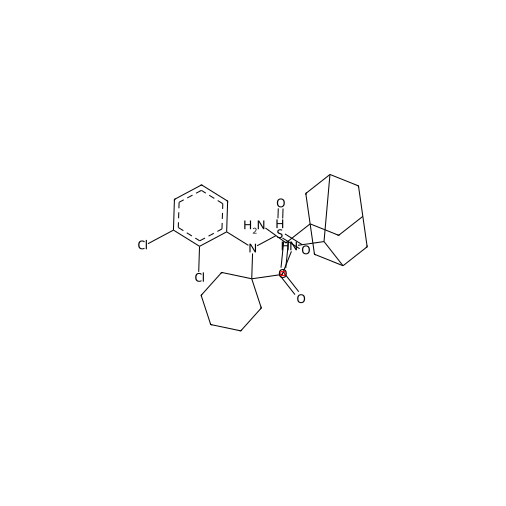 NC(=O)C12CC3CC(C1)C(NC(=O)C1(N(c4cccc(Cl)c4Cl)[SH](=O)=O)CCCCC1)C(C3)C2